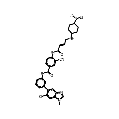 CCN(CC)C1CCC(NC/C=C/C(=O)Nc2ccc(C(=O)Nc3cccc(-c4cc5ncn(C)c5cc4Cl)c3)cc2C#N)CC1